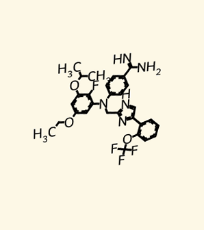 CCOc1cc(OC(C)C)c(F)c(N(Cc2nc(-c3ccccc3OC(F)(F)F)c[nH]2)c2ccc(C(=N)N)cc2)c1